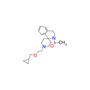 CC(=O)N1CCc2ccccc2C12CCN(CCOCC1CC1)CC2